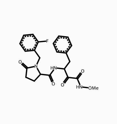 CONC(=O)C(=O)C(Cc1ccccc1)NC(=O)C1CCC(=O)N1Cc1ccccc1F